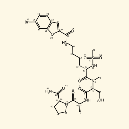 C[C@H](NC(=O)[C@H](CO)N(C)C(=O)[C@H](CCCCNC(=O)c1cc2ccc(Br)cc2o1)NS(C)(=O)=O)C(=O)N1CCC[C@H]1C(N)=O